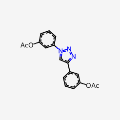 CC(=O)Oc1cccc(-c2cn(-c3cccc(OC(C)=O)c3)nn2)c1